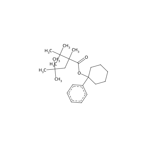 CC(C)(C)CC(C)(C(=O)OC1(c2ccccc2)CCCCC1)C(C)(C)C